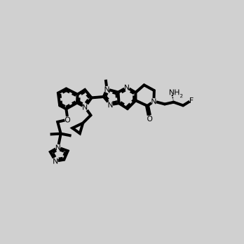 Cn1c(-c2cc3cccc(OCC(C)(C)n4ccnc4)c3n2CC2CC2)nc2cc3c(nc21)CCN(C[C@H](N)CF)C3=O